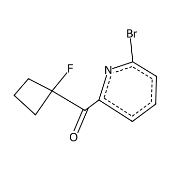 O=C(c1cccc(Br)n1)C1(F)CCC1